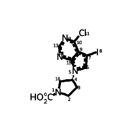 O=C(O)N1CC[C@@H](n2cc(I)c3c(Cl)ncnc32)C1